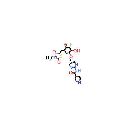 CN1C(=O)S/C(=C\c2cc(OCc3cnc(NC(=O)c4ccncc4)nc3)c(O)c(F)c2Br)C1=O